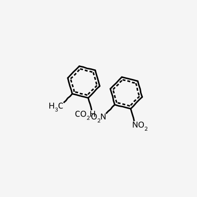 Cc1ccccc1C(=O)O.O=[N+]([O-])c1ccccc1[N+](=O)[O-]